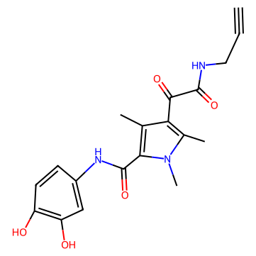 C#CCNC(=O)C(=O)c1c(C)c(C(=O)Nc2ccc(O)c(O)c2)n(C)c1C